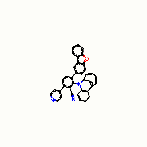 N#Cc1c(-c2ccncc2)ccc(-c2ccc3oc4ccccc4c3c2)c1N1C2=C(CCC=C2)C23C=CC=CC1C2C3